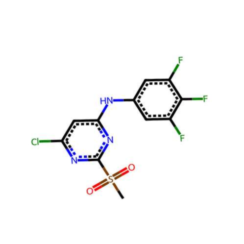 CS(=O)(=O)c1nc(Cl)cc(Nc2cc(F)c(F)c(F)c2)n1